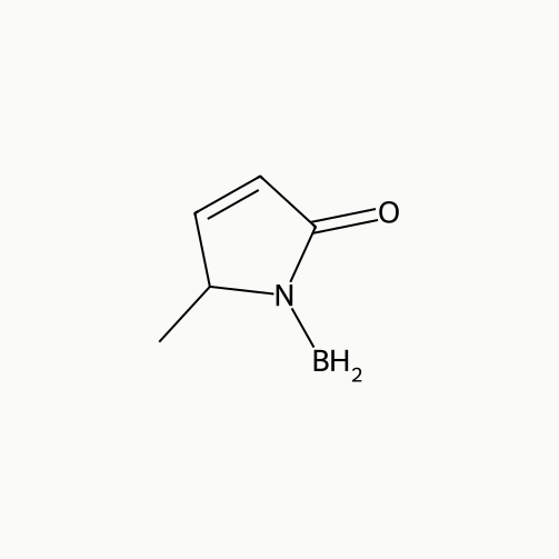 BN1C(=O)C=CC1C